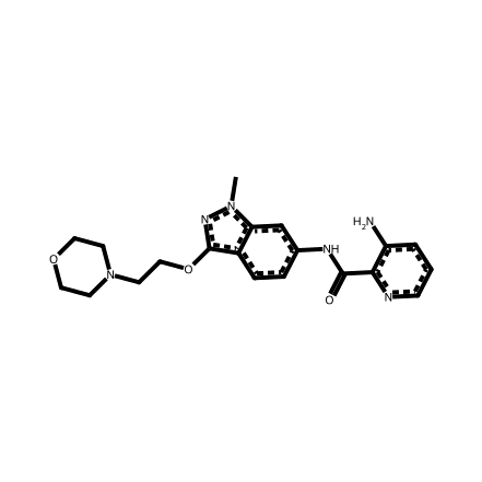 Cn1nc(OCCN2CCOCC2)c2ccc(NC(=O)c3ncccc3N)cc21